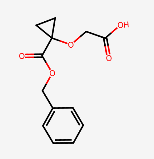 O=C(O)COC1(C(=O)OCc2ccccc2)CC1